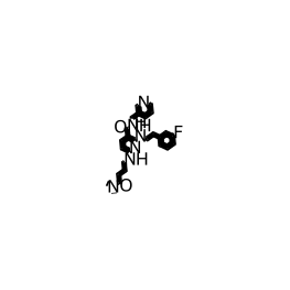 CN(C)C(=O)CCCNc1ccc(C(=O)NCc2cccnc2)c(NCCc2cccc(F)c2)n1